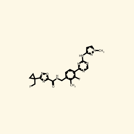 Cc1c(CNC(=O)c2nc(C3(CF)CC3)no2)ccc(-c2ncnc(Nc3ccn(C)n3)n2)c1F